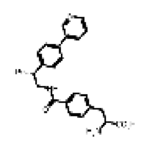 CC(C)[C@@H](CNC(=O)c1ccc(C[C@H](N)C(=O)O)cc1)c1ccc(-c2cccnc2)cc1